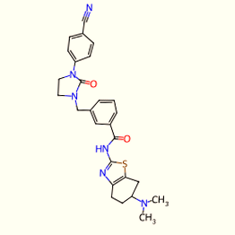 CN(C)C1CCc2nc(NC(=O)c3cccc(CN4CCN(c5ccc(C#N)cc5)C4=O)c3)sc2C1